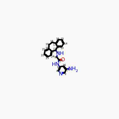 Nc1cncc(NC(=O)CNC2c3ccccc3CCc3ccccc32)c1